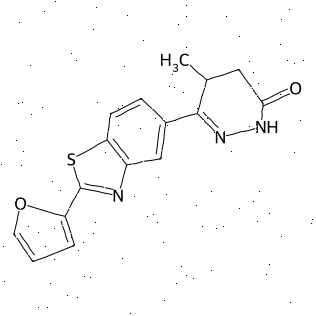 CC1CC(=O)NN=C1c1ccc2sc(-c3ccco3)nc2c1